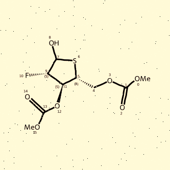 COC(=O)OC[C@H]1SC(O)[C@@H](F)[C@@H]1OC(=O)OC